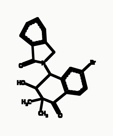 CC1(C)C(=O)c2ccc(Br)cc2C(N2Cc3ccccc3C2=O)C1O